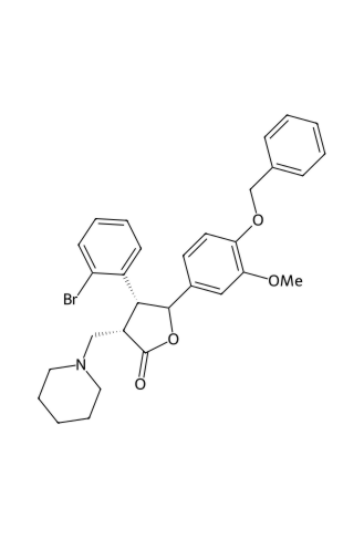 COc1cc(C2OC(=O)[C@H](CN3CCCCC3)[C@@H]2c2ccccc2Br)ccc1OCc1ccccc1